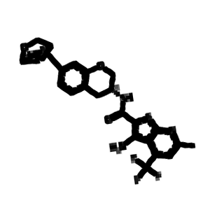 Cc1cc(C(F)(F)F)c2c(N)c(C(=O)N[C@H]3COc4cc(N5CC6CNCC5CO6)ccc4C3)sc2n1